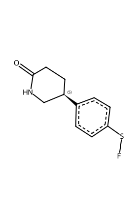 O=C1CC[C@@H](c2ccc(SF)cc2)CN1